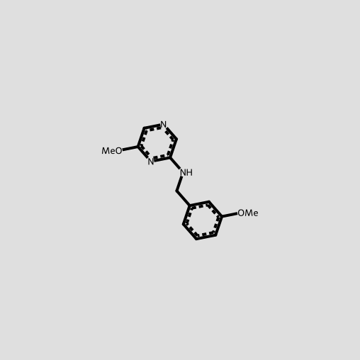 COc1cccc(CNc2cncc(OC)n2)c1